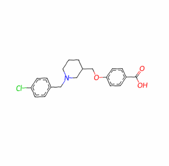 O=C(O)c1ccc(OCC2CCCN(Cc3ccc(Cl)cc3)C2)cc1